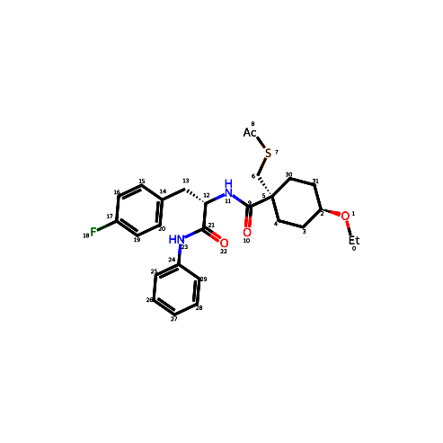 CCO[C@H]1CC[C@@](CSC(C)=O)(C(=O)N[C@@H](Cc2ccc(F)cc2)C(=O)Nc2ccccc2)CC1